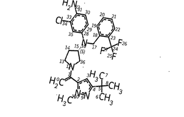 C=C(c1cc(C(C)(C)C)nn1C)N1CC[C@H](N(Cc2ccccc2C(F)(F)F)c2ccc(N)c(Cl)c2)C1